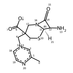 Cc1c[n+](CC2(C(=O)[O-])CS[C@@H]3C(N)C(=O)N3C2)ccn1